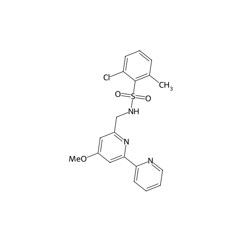 COc1cc(CNS(=O)(=O)c2c(C)cccc2Cl)nc(-c2ccccn2)c1